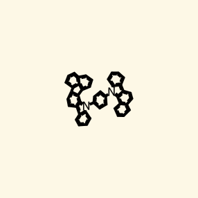 c1cc2c3c(cccc3c1)-c1c-2ccc2c3ccccc3n(-c3ccc(-n4c5ccccc5c5ccc6ccccc6c54)cc3)c12